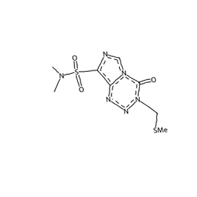 CSCn1nnc2c(S(=O)(=O)N(C)C)ncn2c1=O